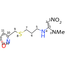 CNC(=C[N+](=O)[O-])NCCCSCc1ccon1